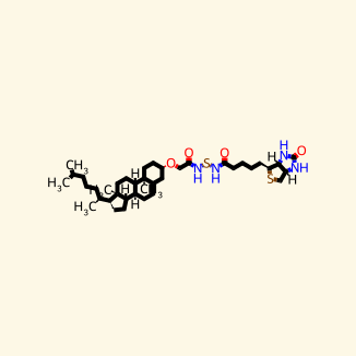 CC(C)CCC[C@@H](C)[C@H]1CC[C@H]2[C@@H]3CC=C4C[C@@H](OCC(=O)NSNC(=O)CCCC[C@@H]5SC[C@@H]6NC(=O)N[C@@H]65)CC[C@]4(C)[C@H]3CC[C@]12C